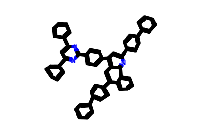 c1ccc(-c2ccc(-c3cc(-c4ccc(-c5nc(-c6ccccc6)cc(-c6ccccc6)n5)cc4)c4cc(-c5ccc(-c6ccccc6)cc5)c5ccccc5c4n3)cc2)cc1